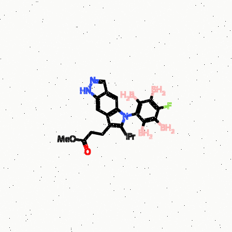 Bc1c(B)c(-n2c(C(C)C)c(CCC(=O)OC)c3cc4[nH]ncc4cc32)c(B)c(B)c1F